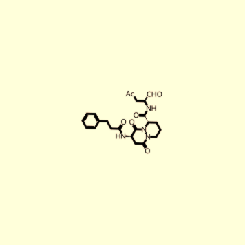 CC(=O)C[C@@H](C=O)NC(=O)[C@@H]1CCCN2C(=O)C[C@@H](NC(=O)CCc3ccccc3)C(=O)N12